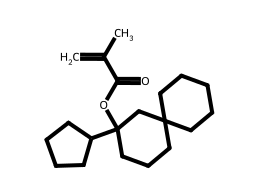 C=C(C)C(=O)OC1(C2CCCC2)CCCC2(CCCCC2)C1